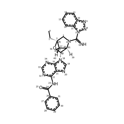 CC[C@@]12CN(C(=N)n3nnc4ccccc43)[C@@H]([C@H](n3cnc4c(NC(=O)c5ccccc5)ncnc43)O1)[C@@H]2C